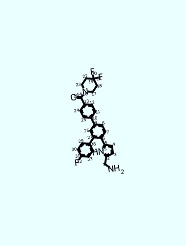 NCc1ccc(-c2ccc(-c3ccc(C(=O)N4CCC(F)(F)CC4)cc3)cc2-c2ccc(F)cc2)[nH]1